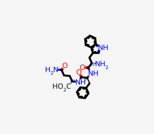 NC(=O)CC[C@H](NC(=O)[C@H](Cc1ccccc1)NC(=O)[C@@H](N)Cc1c[nH]c2ccccc12)C(=O)O